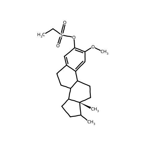 CCS(=O)(=O)Oc1cc2c(cc1OC)C1CC[C@]3(C)C(C)CCC3C1CC2